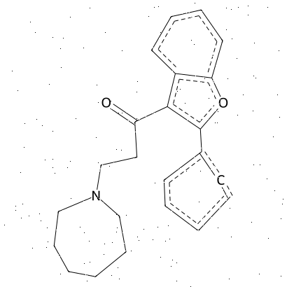 O=C(CCN1CCCCCC1)c1c(-c2ccccc2)oc2ccccc12